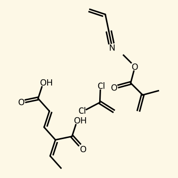 C=C(C)C(=O)OC.C=C(Cl)Cl.C=CC#N.CC=C(C=CC(=O)O)C(=O)O